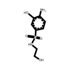 Nc1ccc(S(=O)(=O)NCCO)cc1O